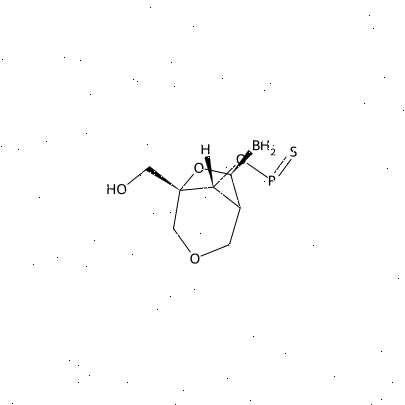 B[C@@H]1O[C@@]2(CO)COCC1[C@H]2OP=S